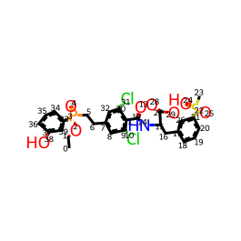 CCOP(=O)(CCc1cc(Cl)c(C(=O)NC(Cc2cccc(S(C)(=O)=O)c2)C(=O)O)c(Cl)c1)c1cccc(O)c1